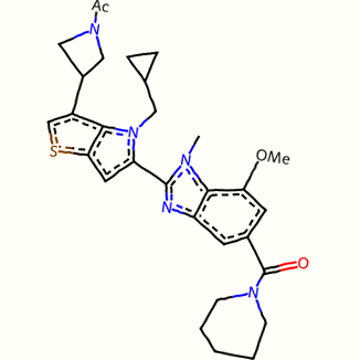 COc1cc(C(=O)N2CCCCC2)cc2nc(-c3cc4scc(C5CN(C(C)=O)C5)c4n3CC3CC3)n(C)c12